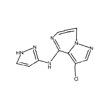 Clc1cnn2ccnc(Nc3cc[nH]n3)c12